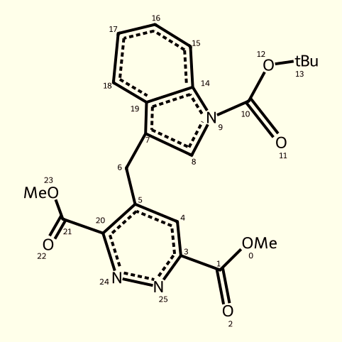 COC(=O)c1cc(Cc2cn(C(=O)OC(C)(C)C)c3ccccc23)c(C(=O)OC)nn1